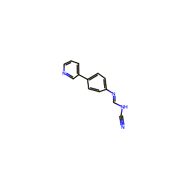 N#CN/C=N/c1ccc(-c2cccnc2)cc1